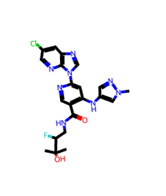 Cn1cc(Nc2cc(-n3cnc4cc(Cl)cnc43)ncc2C(=O)NCC(F)C(C)(C)O)cn1